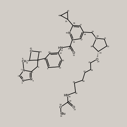 Cn1cnnc1CC1(c2cccc(NC(=O)c3cc(CN4CC[C@H](OCCCCCCNC(=O)OC(C)(C)C)C4)cc(C4CC4)n3)c2)COC1